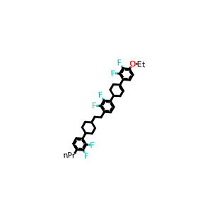 CCCc1ccc(C2CCC(CCc3ccc(C4CC=C(c5ccc(OCC)c(F)c5F)CC4)c(F)c3F)CC2)c(F)c1F